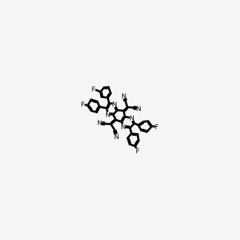 N#CC(C#N)=c1c2nc(-c3ccc(F)cc3)c(-c3ccc(F)cc3)nc2c(=C(C#N)C#N)c2nc(-c3cccc(F)c3)c(-c3ccc(F)cc3)nc12